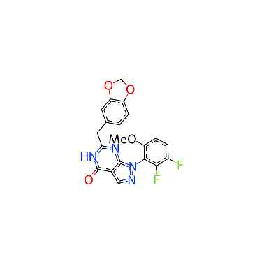 COc1ccc(F)c(F)c1-n1ncc2c(=O)[nH]c(Cc3ccc4c(c3)OCO4)nc21